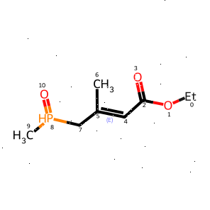 CCOC(=O)/C=C(\C)C[PH](C)=O